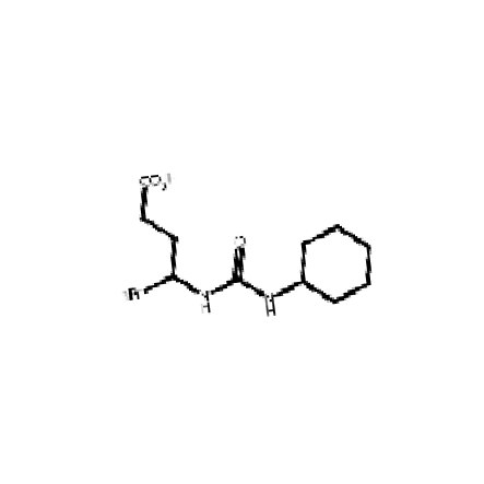 CCCC(CCC(=O)O)NC(=O)NC1CCCCC1